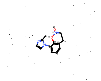 Cc1nccn1-c1cccc2c1O[N+](=O)CC2